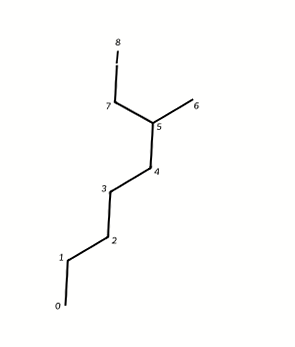 CCCCCC(C)CI